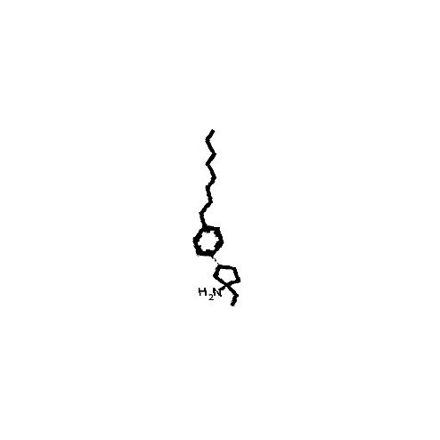 CCCCCCCCc1ccc([C@@H]2CC[C@](N)(CC)C2)cc1